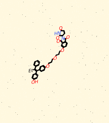 CCC(=C(c1ccc(O)cc1)c1ccc(OCCCOCCCOc2ccc3c(c2)C(=O)N(C2CCC(=O)NC2=O)C3=O)cc1)c1ccccc1